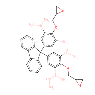 BBB(B)c1cc(C2(c3cc(B)c(OCC4CO4)c(B(B)B)c3)c3ccccc3-c3ccccc32)cc(BB)c1OCC1CO1